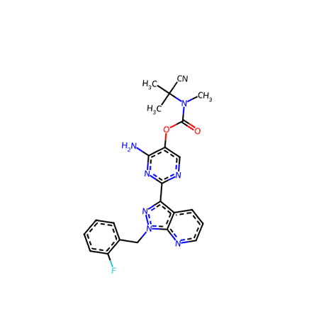 CN(C(=O)Oc1cnc(-c2nn(Cc3ccccc3F)c3ncccc23)nc1N)C(C)(C)C#N